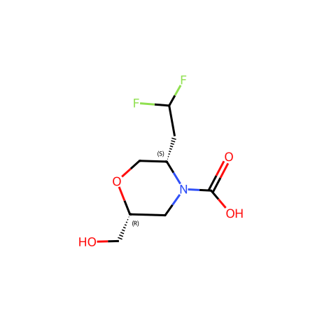 O=C(O)N1C[C@H](CO)OC[C@@H]1CC(F)F